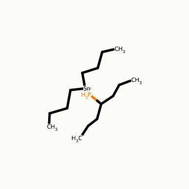 CCCC(P)CCC.CCC[CH2][Sn][CH2]CCC